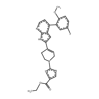 CCOC(=O)c1cnc(N2CC=C(c3cc4c(-c5cc(F)ccc5OC)ccnc4[nH]3)CC2)s1